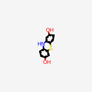 Oc1ccc2c(c1)Nc1ccc(O)cc1S2